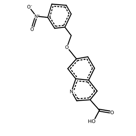 O=C(O)c1cnc2cc(OCc3cccc([N+](=O)[O-])c3)ccc2c1